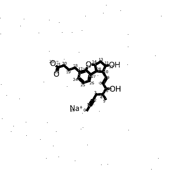 CC#CCC(C)C(O)C=CC1C(O)CC2Oc3c(CCCC(=O)[O-])cccc3C21.[Na+]